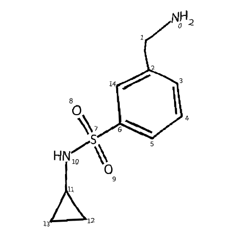 NCc1cccc(S(=O)(=O)NC2CC2)c1